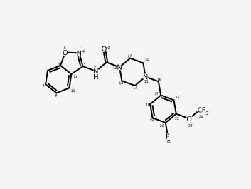 O=C(Nc1noc2ccccc12)N1CCN(Cc2ccc(F)c(OC(F)(F)F)c2)CC1